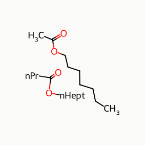 CCCCCCCOC(=O)CCC.CCCCCCCOC(C)=O